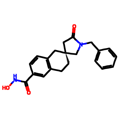 O=C(NO)c1ccc2c(c1)CC[C@@]1(CC(=O)N(Cc3ccccc3)C1)C2